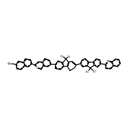 CCC1(CC)C2=C(CCC(c3ccc4c(c3)C(CC)(CC)c3cc(-c5ccc6ccccc6n5)ccc3-4)=C2)c2ccc(-c3ccc4cc(-c5ccc6cc(C(C)(C)C)ccc6c5)ccc4c3)cc21